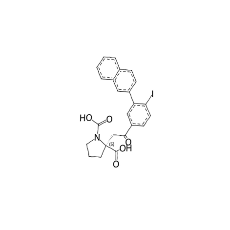 O=C(C[C@]1(C(=O)O)CCCN1C(=O)O)c1ccc(I)c(-c2ccc3ccccc3c2)c1